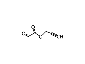 C#CCOC(=O)C=O